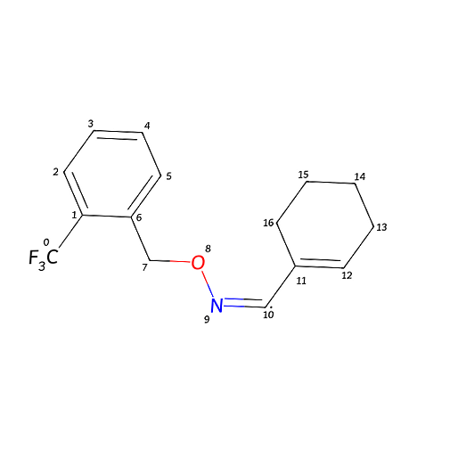 FC(F)(F)c1ccccc1CO/N=[C]\C1=CCCCC1